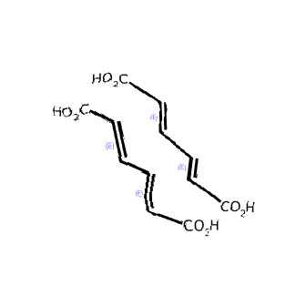 O=C(O)/C=C/C=C/C(=O)O.O=C(O)/C=C/C=C/C(=O)O